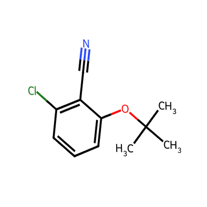 CC(C)(C)Oc1cccc(Cl)c1C#N